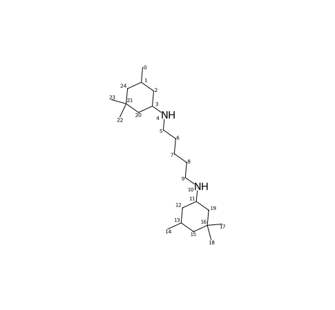 CC1CC(NCCCCCNC2CC(C)CC(C)(C)C2)CC(C)(C)C1